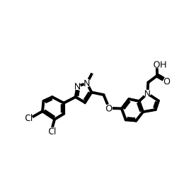 Cn1nc(-c2ccc(Cl)c(Cl)c2)cc1COc1ccc2ccn(CC(=O)O)c2c1